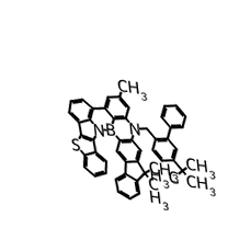 Cc1cc2c3c(c1)N(Cc1ccc(C(C)(C)C)cc1-c1ccccc1)c1cc4c(cc1B3n1c3c-2cccc3c2sc3ccccc3c21)-c1ccccc1C4(C)C